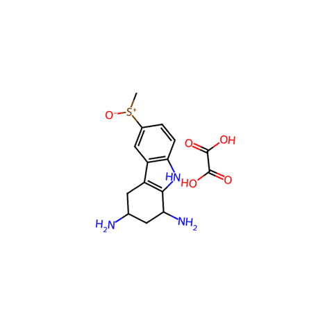 C[S+]([O-])c1ccc2[nH]c3c(c2c1)CC(N)CC3N.O=C(O)C(=O)O